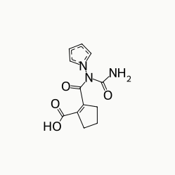 NC(=O)N(C(=O)C1=C(C(=O)O)CCC1)n1cccc1